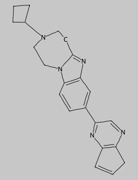 C1=Cc2nc(-c3ccc4c(c3)nc3n4CCN(C4CCC4)CC3)cnc2C1